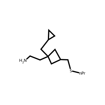 CCCSCC1CC(CCN)(CC2CC2)C1